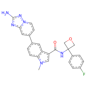 Cn1cc(C(=O)NC2(c3ccc(F)cc3)COC2)c2cc(-c3ccn4nc(N)nc4c3)ccc21